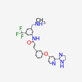 CNCc1cc(NC(=O)/C=C/c2cccc(Oc3ccnc(C4=NCCN4)c3)c2)cc(C(F)(F)F)c1